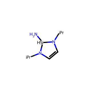 CC(C)N1C=CN(C(C)C)[SiH]1N